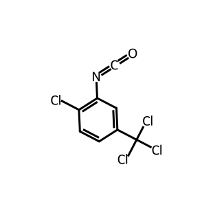 O=C=Nc1cc(C(Cl)(Cl)Cl)ccc1Cl